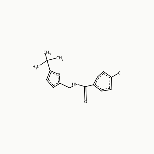 CC(C)(C)c1ccc(CNC(=O)c2ccc(Cl)cc2)s1